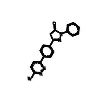 O=C1CC(c2ccc(-c3ccc(Br)nn3)cc2)=NN1c1ccccc1